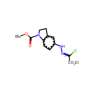 CCOC(=O)/C(Cl)=N/Nc1ccc2c(c1)CCN2C(=O)OC(C)(C)C